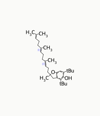 CC(C)=CCC/C(C)=C/CC/C(C)=C/CCC1(C)Cc2c(cc(C(C)(C)C)c(O)c2C(C)(C)C)O1